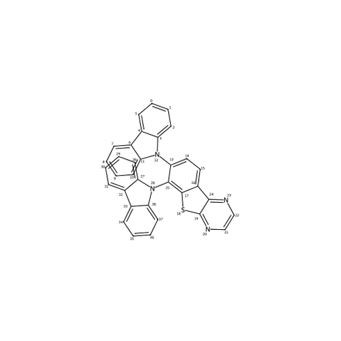 c1ccc2c(c1)c1ccccc1n2-c1ccc2c(sc3nccnc32)c1-n1c2ccccc2c2ccccc21